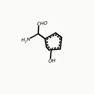 NC(C=O)c1cccc(O)c1